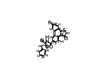 Cc1cc(C(=O)NS(=O)(=O)Cc2ccccc2)ccc1N1C(=O)CSC1c1ccc(F)cc1